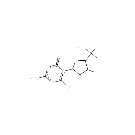 Bc1nc(N)nc(=O)n1C1OC(C(B)(B)O)C(O)[C@@H]1O